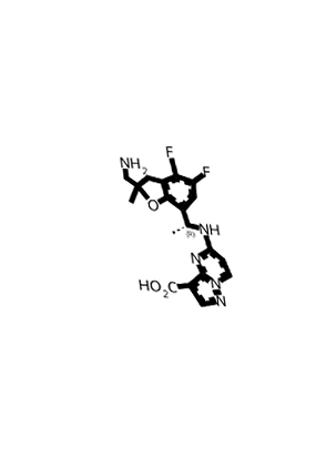 C[C@@H](Nc1ccn2ncc(C(=O)O)c2n1)c1cc(F)c(F)c2c1OC(C)(CN)C2